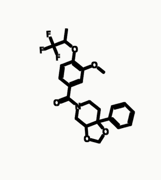 COc1cc(C(=O)N2CCC3(c4ccccc4)OCOC3C2)ccc1OC(C)C(F)(F)F